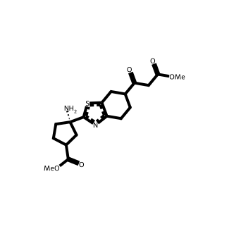 COC(=O)CC(=O)C1CCc2nc([C@]3(N)CCC(C(=O)OC)C3)sc2C1